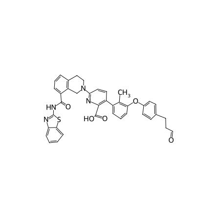 Cc1c(Oc2ccc(CCC=O)cc2)cccc1-c1ccc(N2CCc3cccc(C(=O)Nc4nc5ccccc5s4)c3C2)nc1C(=O)O